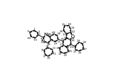 c1ccc(-c2nc(-c3ccccc3)c3cc(-c4c5ccccc5c(-c5ccccc5)c5oc6ccccc6c45)ccc3n2)cc1